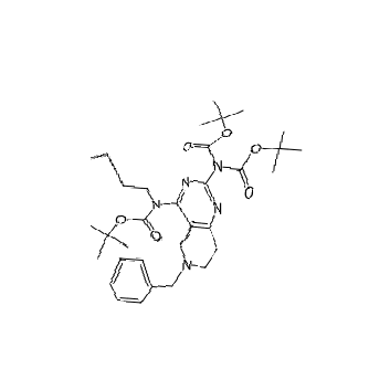 CCCCN(C(=O)OC(C)(C)C)c1nc(N(C(=O)OC(C)(C)C)C(=O)OC(C)(C)C)nc2c1CN(Cc1ccccc1)CC2